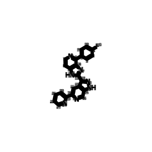 Fc1ccc(-c2nccc3[nH]c(-c4n[nH]c5cnc(-c6ccccn6)cc45)nc23)cc1